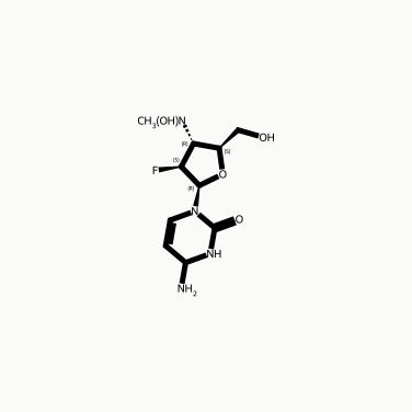 CN(O)[C@H]1[C@H](F)[C@H](N2C=CC(N)NC2=O)O[C@@H]1CO